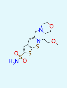 COCCN1Sc2sc(S(N)(=O)=O)cc2C=C1CN1CCOCC1